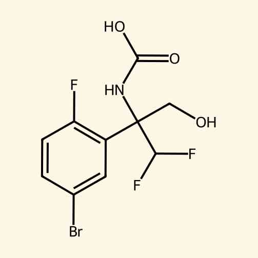 O=C(O)NC(CO)(c1cc(Br)ccc1F)C(F)F